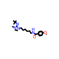 COc1ccc(C(=O)NCCCCCCN2CCN(C)/C2=N\C(C)(C)C)cc1